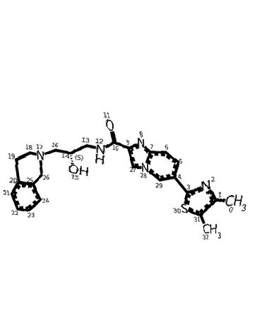 Cc1nc(-c2ccc3nc(C(=O)NC[C@H](O)CN4CCc5ccccc5C4)cn3c2)sc1C